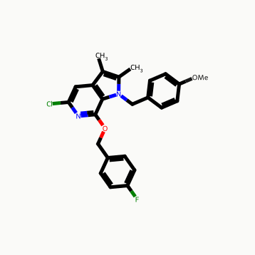 COc1ccc(Cn2c(C)c(C)c3cc(Cl)nc(OCc4ccc(F)cc4)c32)cc1